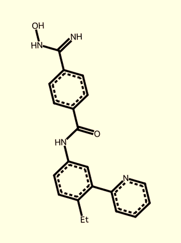 CCc1ccc(NC(=O)c2ccc(C(=N)NO)cc2)cc1-c1ccccn1